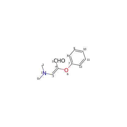 CN(C)/C=C(\C=O)Oc1ccccc1